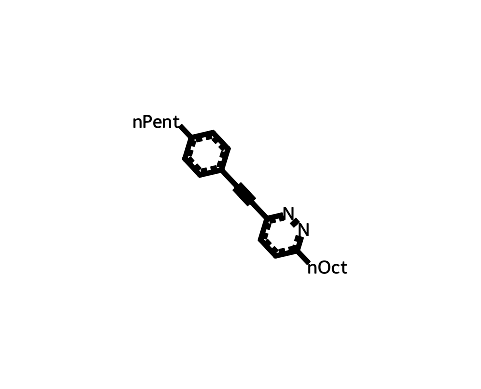 CCCCCCCCc1ccc(C#Cc2ccc(CCCCC)cc2)nn1